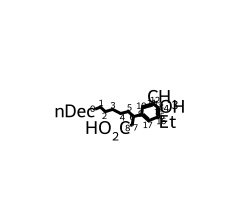 CCCCCCCCCCCCCCCC(CC(=O)O)c1cc(C)c(O)c(CC)c1